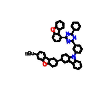 CCCCc1ccc2c(c1)oc1ccc(-c3ccc4c(c3)c3ccccc3n4-c3cccc(-c4nc(-c5ccccc5)nc(-c5cccc6oc7ccccc7c56)n4)c3)cc12